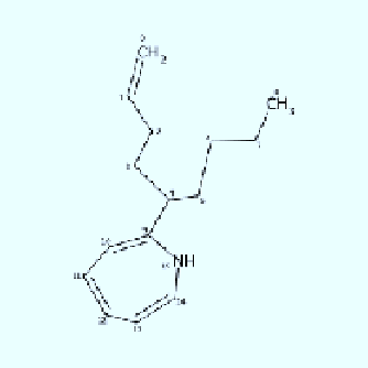 C=CCCC(CCCC)C1=CC=CC=CN1